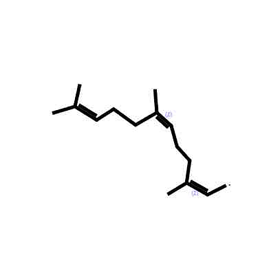 [CH2]/C=C(/C)CC/C=C(/C)CCC=C(C)C